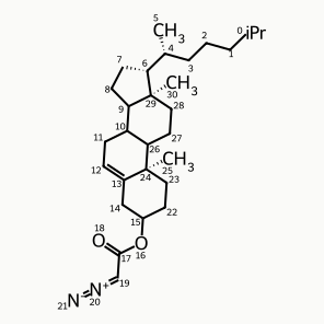 CC(C)CCC[C@@H](C)[C@H]1CCC2C3CC=C4CC(OC(=O)C=[N+]=[N-])CC[C@]4(C)C3CC[C@@]21C